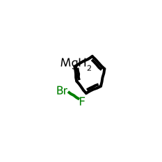 FBr.[MgH2].c1ccccc1